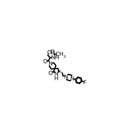 CCC(NC(C)=O)C(=O)N1CCC2(CC1)C[C@H](CCN1CCN(c3ccc(F)cc3)CC1)NC2=O